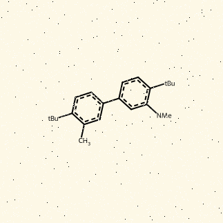 CNc1cc(-c2ccc(C(C)(C)C)c(C)c2)ccc1C(C)(C)C